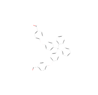 O=C(O)c1ccc(Oc2ccc(C3(c4ccc(Oc5ccc(C(=O)O)cc5)cc4)c4ccccc4-c4ccccc43)cc2)cc1